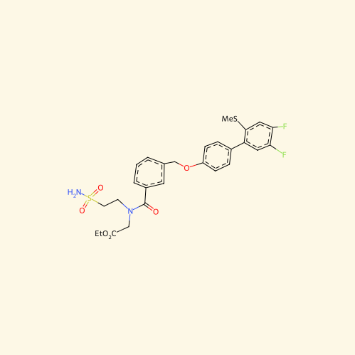 CCOC(=O)CN(CCS(N)(=O)=O)C(=O)c1cccc(COc2ccc(-c3cc(F)c(F)cc3SC)cc2)c1